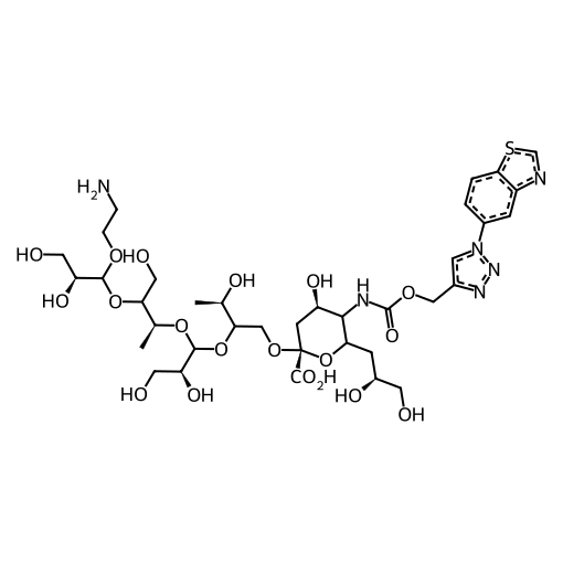 C[C@H](OC(OC(CO[C@]1(C(=O)O)C[C@@H](O)C(NC(=O)OCc2cn(-c3ccc4scnc4c3)nn2)C(C[C@H](O)CO)O1)[C@@H](C)O)[C@@H](O)CO)C(CO)OC(OCCN)[C@@H](O)CO